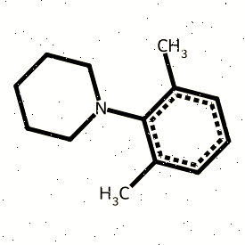 Cc1cccc(C)c1N1CCCCC1